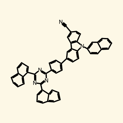 N#Cc1ccc2c(c1)c1cc(-c3ccc(-c4nc(-c5cccc6ccccc56)nc(-c5cccc6ccccc56)n4)cc3)ccc1n2-c1ccc2ccccc2c1